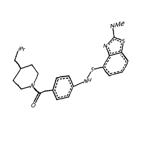 CNc1nc2c(SNc3ccc(C(=O)N4CCC(CC(C)C)CC4)cc3)cccc2s1